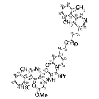 COC(=O)C[C@H](NC(=O)C(C(C)C)n1ccc(CCOC(=O)CCc2cncc(-c3c(C)cccc3C)c2)cc1=O)c1cncc(-c2c(C)cccc2C)c1